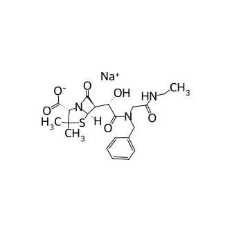 CCNC(=O)CN(Cc1ccccc1)C(=O)[C@@H](O)[C@@H]1C(=O)N2[C@@H]1SC(C)(C)[C@@H]2C(=O)[O-].[Na+]